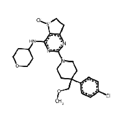 COCC1(c2ccc(Cl)cc2)CCN(c2nc3c(c(NC4CCOCC4)n2)[S+]([O-])CC3)CC1